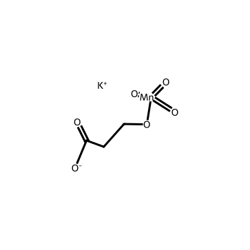 O=C([O-])CC[O][Mn](=[O])(=[O])=[O].[K+]